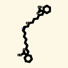 O=C(O)C1(CCCCCCC/C=C\CNCCCCCC2(C(=O)O)CCCCC2)CCCCC1